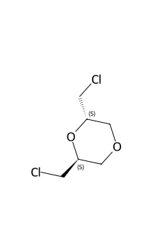 ClC[C@@H]1COC[C@@H](CCl)O1